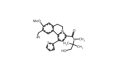 COc1cc2c(cc1CC(C)C)-c1c(-c3cccs3)cc(C(=O)N(C)C(C)(C)CO)n1CC2